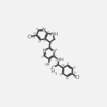 CC(Nc1nc(C2CNc3ncc(Cl)cc32)ncc1F)c1ccc(Cl)cc1